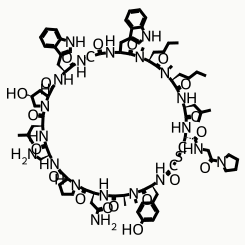 CCCC[C@H]1C(=O)N(C)[C@@H](CCCC)C(=O)N[C@@H](CC(C)C)C(=O)N[C@H](C(=O)NCC(=O)N2CCCC2)CSCC(=O)N[C@@H](Cc2ccc(O)cc2)C(=O)N(C)[C@@H](C)C(=O)N[C@@H](CC(N)=O)C(=O)N2CCC[C@H]2C(=O)N[C@@H](CN)C(=O)N[C@@H](CC(C)C)C(=O)N2C[C@H](O)C[C@H]2C(=O)N[C@@H](Cc2c[nH]c3ccccc23)C(=O)NCC(=O)NC(Cc2c[nH]c3ccccc23)C(=O)N1C